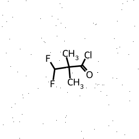 CC(C)(C(=O)Cl)C(F)F